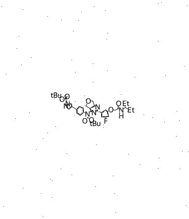 CCC(CC)NC(=O)COc1cc(F)cc(-c2nc3c(c(N(C(=O)OC(C)(C)C)c4ccc(-c5cnn(C(=O)OC(C)(C)C)c5)cc4)n2)COC3)c1